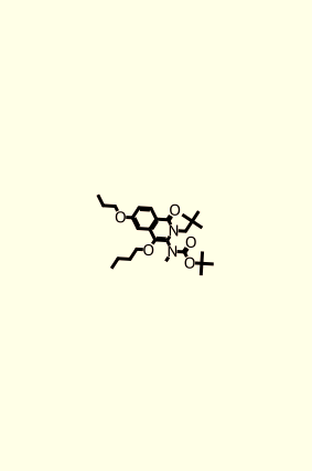 CCCCOc1c(N(C)C(=O)OC(C)(C)C)n(CC(C)(C)C)c(=O)c2ccc(OCCC)cc12